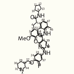 COc1cc(CCC(=O)NC2CCCC2)ccc1Oc1nc(Nc2ccc(OCC3CCCN(C)C3)c(F)c2)ncc1C(=O)Nc1c(C)cccc1C